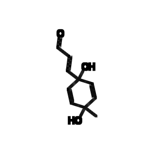 CC1(O)C=CC(O)(C=CC=O)C=C1